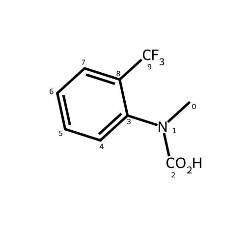 CN(C(=O)O)c1ccccc1C(F)(F)F